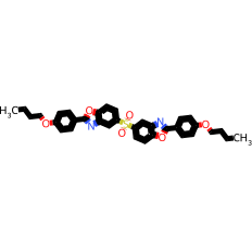 CCCCOc1ccc(-c2nc3cc(S(=O)(=O)c4ccc5oc(-c6ccc(OCCCC)cc6)nc5c4)ccc3o2)cc1